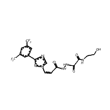 O=C(/C=C\n1cnc(-c2cc(C(F)(F)F)cc(C(F)(F)F)c2)n1)NNC(=O)C(=O)NCCO